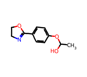 CC(O)Oc1ccc(C2=NCCO2)cc1